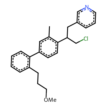 COCCCc1ccccc1-c1ccc(C(CCl)Cc2cccnc2)c(C)c1